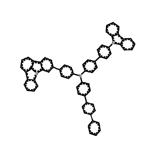 c1ccc(-c2ccc(-c3ccc(N(c4ccc(-c5ccc(-n6c7ccccc7c7ccccc76)cc5)cc4)c4ccc(-c5ccc6c7cccc8c9ccccc9n(c6c5)c87)cc4)cc3)cc2)cc1